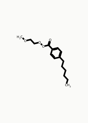 CCCCCCc1ccc(C(=O)OO[CH]COC)cc1